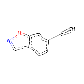 C#Cc1ccc2[c]noc2c1